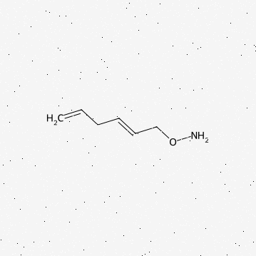 C=CCC=CCON